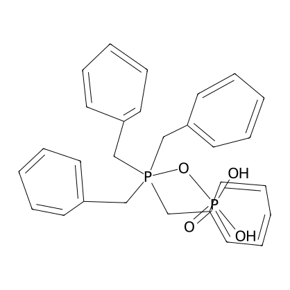 O=P(O)(O)OP(Cc1ccccc1)(Cc1ccccc1)(Cc1ccccc1)Cc1ccccc1